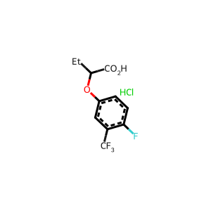 CCC(Oc1ccc(F)c(C(F)(F)F)c1)C(=O)O.Cl